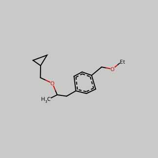 CCOCc1ccc(CC(C)OCC2CC2)cc1